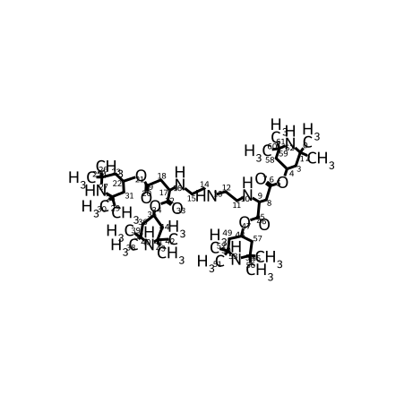 CC1(C)CC(OC(=O)CC(NCCNCCNC(CC(=O)OC2CC(C)(C)NC(C)(C)C2)C(=O)OC2CC(C)(C)NC(C)(C)C2)C(=O)OC2CC(C)(C)NC(C)(C)C2)CC(C)(C)N1